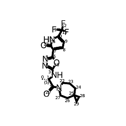 C[C@H](Nc1nnc(-c2ccc(C(F)(F)F)[nH]c2=O)o1)C(=O)N1CCCC2(CC1)CC2